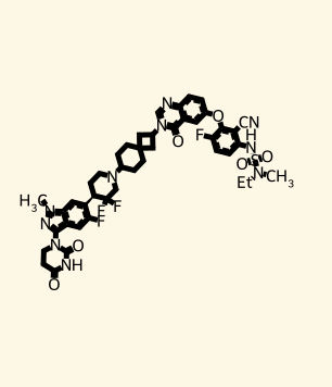 CCN(C)S(=O)(=O)Nc1ccc(F)c(Oc2ccc3ncn(C4CC5(CCC(N6CC[C@H](c7cc8c(cc7F)c(N7CCC(=O)NC7=O)nn8C)C(F)(F)C6)CC5)C4)c(=O)c3c2)c1C#N